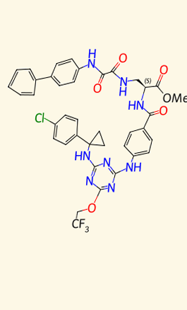 COC(=O)[C@H](CNC(=O)C(=O)Nc1ccc(-c2ccccc2)cc1)NC(=O)c1ccc(Nc2nc(NC3(c4ccc(Cl)cc4)CC3)nc(OCC(F)(F)F)n2)cc1